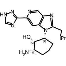 CC(C)Cc1nc2cnc(-c3nc[nH]n3)cc2n1[C@@H]1CCC[C@H](N)[C@@H]1O